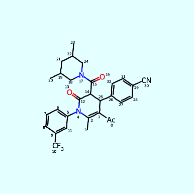 CC(=O)C1=C(C)N(c2cccc(C(F)(F)F)c2)C(=O)C(C(=O)N2CC(C)CC(C)C2)C1c1ccc(C#N)cc1